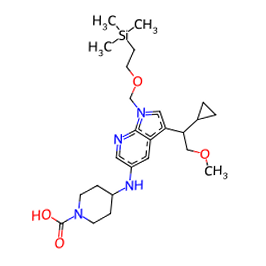 COCC(c1cn(COCC[Si](C)(C)C)c2ncc(NC3CCN(C(=O)O)CC3)cc12)C1CC1